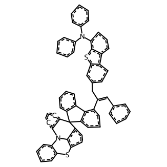 C(=C(\Cc1ccc2c(c1)sc1c(N(c3ccccc3)c3ccccc3)cccc12)c1cccc2c1-c1ccccc1C21c2ccccc2N2c3ccccc3Sc3cccc1c32)/c1ccccc1